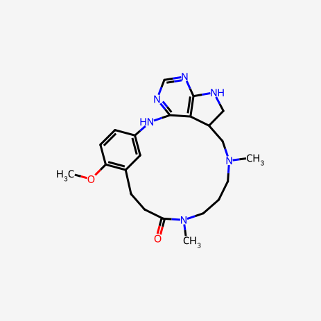 COc1ccc2cc1CCC(=O)N(C)CCCN(C)CC1CNc3ncnc(c31)N2